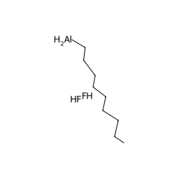 CCCCCCCC[CH2][AlH2].F.F